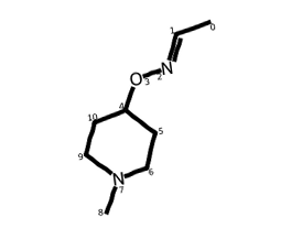 C/C=N/OC1CCN(C)CC1